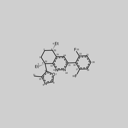 CC[C@H]1CC[C@](CC)(c2ocnc2C)c2nnc(-c3c(F)cccc3F)cc21